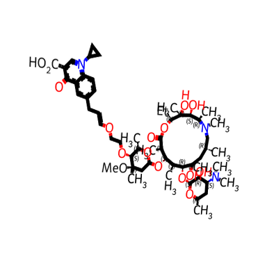 CC[C@H]1OC(=O)[C@H](C)[C@@H](OC2C[C@@](C)(OC)[C@@H](OCCOC=CCc3ccc4c(c3)c(=O)c(C(=O)O)cn4C3CC3)[C@H](C)O2)[C@H](C)[C@@H](O[C@@H]2O[C@H](C)C[C@H](N(C)C)[C@H]2O)[C@](C)(O)C[C@@H](C)CN(C)[C@H](C)[C@H](O)[C@]1(C)O